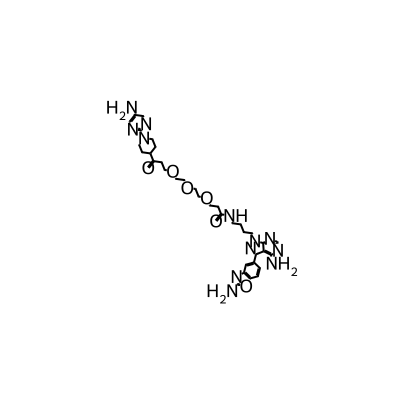 Nc1cnc(N2CCC(C(=O)CCOCCOCCOCCC(=O)NCCCCn3nc(-c4ccc5oc(N)nc5c4)c4c(N)ncnc43)CC2)nc1